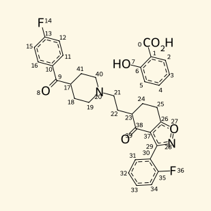 O=C(O)c1ccccc1O.O=C(c1ccc(F)cc1)C1CCN(CCC2CCc3onc(-c4ccccc4F)c3C2=O)CC1